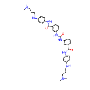 CN(C)CCCNc1ccc(NC(=O)c2cccc(NC(=O)Nc3cccc(C(=O)Nc4ccc(NCCCN(C)C)cc4)c3)c2)cc1